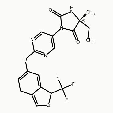 CC[C@@]1(C)NC(=O)N(c2cnc(OC3=CCC4=COC(C(F)(F)F)C4=C3)nc2)C1=O